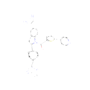 N/C=C(\N)c1ccc2c(c1)cc1n2C(c2ccc(-c3ccncc3)s2)Oc2cc(C3N[C@H]4NC34)ccc2-1